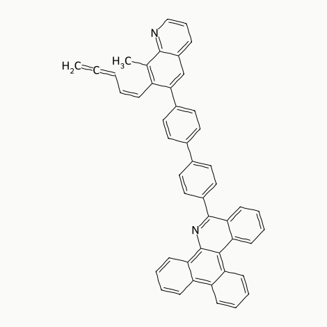 C=C=C/C=C\c1c(-c2ccc(-c3ccc(-c4nc5c6ccccc6c6ccccc6c5c5ccccc45)cc3)cc2)cc2cccnc2c1C